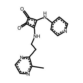 Cc1nccnc1CCNc1c(Nc2ccncc2)c(=O)c1=O